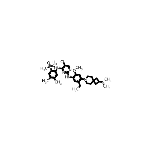 CCc1cc(Nc2ncc(Cl)c(Nc3cc(C)c(C)cc3P(C)(C)=O)n2)c(OC)cc1N1CCC2(CC1)CC(N(C)C)C2